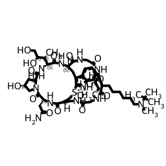 CC[C@H](C)[C@@H]1NC(=O)CNC(=O)[C@@H]2Cc3c4[nH]c5cc(ccc35)OC1(CCCCCCN(C)C(C)(C)C)C(=O)NCC(=O)N[C@@H](C[S+]4[O-])C(=O)N[C@@H](CC(N)=O)C(=O)N1C[C@H](O)C[C@H]1C(=O)N[C@@H]([C@@H](C)[C@@H](O)CO)C(=O)N2